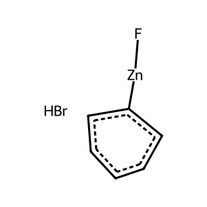 Br.[F][Zn][c]1ccccc1